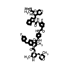 CN[C@@H](C)C(=O)NC(CN1Cc2ccccc2[C@H]1C(=O)Nc1cc(C(=O)Nc2ccc(NC(=O)C3(C)CN(C(=O)CN4C[C@@H](C)NC[C@@H]4CN4CCOC[C@H]4C)c4cc(Cc5ccc(F)cc5)ccc43)cc2)ccc1F)C1CCOCC1